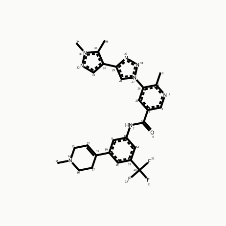 Cc1ncc(C(=O)Nc2cc(C3=CCN(C)CC3)cc(C(F)(F)F)c2)cc1-n1cc(-c2cnn(C)c2C)nn1